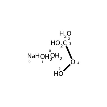 O.O.O.O=C(O)OO.[NaH]